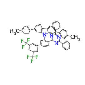 Cc1ccc(-c2ccc3c4ccc(-c5ccc(C)cc5)cc4n(-c4cc(-c5cc(C(F)(F)F)cc(C(F)(F)F)c5)ccc4-c4nc(-c5ccccc5)nc(-c5ccccc5)n4)c3c2)cc1